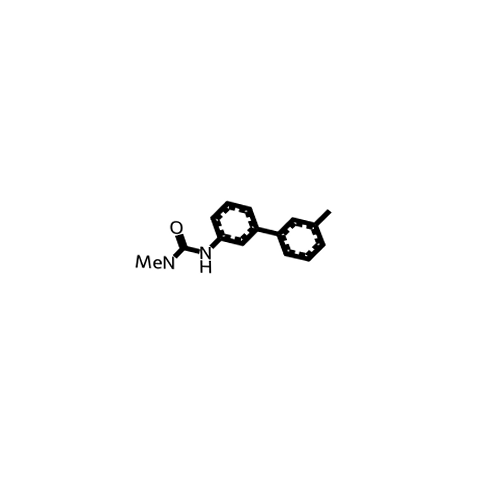 CNC(=O)Nc1cccc(-c2cccc(C)c2)c1